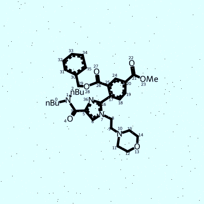 CCCCN(CCCC)C(=O)c1cn(CCN2CCOCC2)c(-c2ccc(C(=O)OC)cc2C(=O)OCc2ccccc2)n1